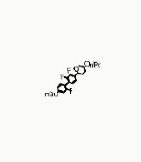 CCCCc1ccc(-c2ccc(C3CCC(OCCC)CO3)c(F)c2F)c(F)c1